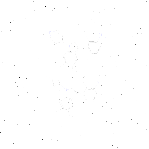 Cc1cc2c(cc1C#N)c(-c1cccc(N)c1C)cn2C1CC(O)C1.Cc1cc2c(cc1C#N)c(-c1cccc(N)c1C)cn2C1CCNCC1